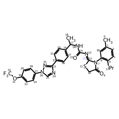 Cc1ccc(C(C)C)c(N2C(=O)CS/C2=N\C(=O)NC(C)c2ccc(-c3ncn(-c4ccc(OC(F)(F)F)cc4)n3)cc2)c1